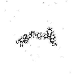 CN(Cc1cc2c(cc1F)C(=O)N(C1CCC(=O)NC1=O)C2=O)C1CCN(c2ccc([C@@H]3c4ccc(O)cc4CC[C@@H]3c3ccccc3)cc2)CC1